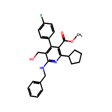 COC(=O)c1c(C2CCCC2)nc(NCc2ccccc2)c(CO)c1-c1ccc(F)cc1